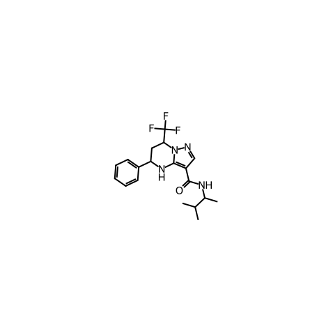 CC(C)C(C)NC(=O)c1cnn2c1NC(c1ccccc1)CC2C(F)(F)F